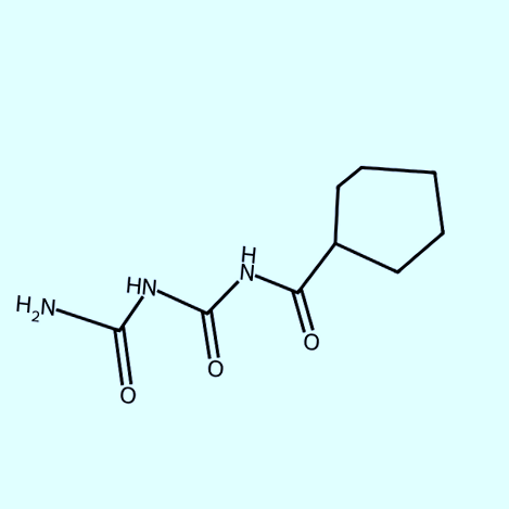 NC(=O)NC(=O)NC(=O)C1CCCCC1